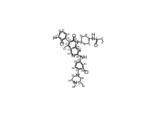 CCC(=O)N[C@H]1CC[C@@H](n2c(=O)c(-c3cccc(F)c3Cl)c(C)c3cnc(Nc4ccc(N5CCN(C)[C@H](C)C5)c(Cl)c4)nc32)CC1